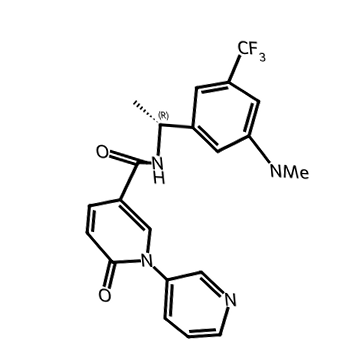 CNc1cc([C@@H](C)NC(=O)c2ccc(=O)n(-c3cccnc3)c2)cc(C(F)(F)F)c1